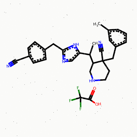 Cc1cccc(CC2(C#N)CCNCC2C(C)c2cnc(Cc3ccc(C#N)cc3)[nH]2)c1.O=C(O)C(F)(F)F